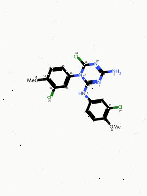 COc1ccc(NC2=NC(N)=NC(Cl)N2c2ccc(OC)c(Cl)c2)cc1Cl